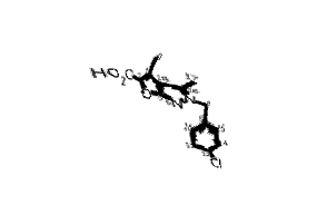 Cc1c(C(=O)O)oc2nn(Cc3ccc(Cl)cc3)c(C)c12